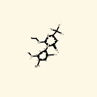 CCOc1nc(C(F)(F)F)cc(=O)n1-c1cc(OC)c(Br)cc1F